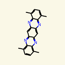 Cc1ccc(C)c2nc3cc4nc5c(C)ccc(C)c5nc4cc3nc12